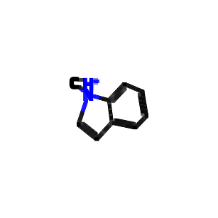 [CH2-][NH+]1C=Cc2ccccc21